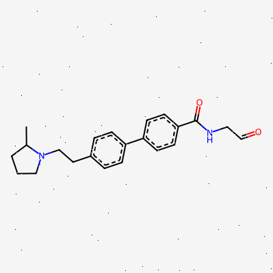 CC1CCCN1CCc1ccc(-c2ccc(C(=O)NCC=O)cc2)cc1